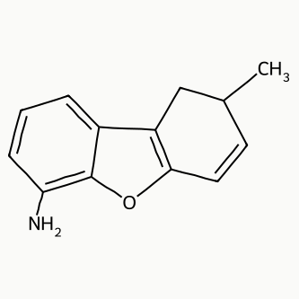 CC1C=Cc2oc3c(N)cccc3c2C1